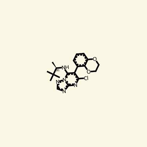 C[C@@H](Nc1c(-c2cccc3c2OCCO3)c(Cl)nc2ncnn12)C(C)(C)C